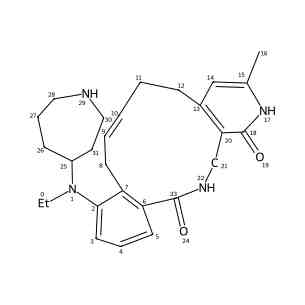 CCN(c1cccc2c1CC=CCCc1cc(C)[nH]c(=O)c1CNC2=O)C1CCCNCC1